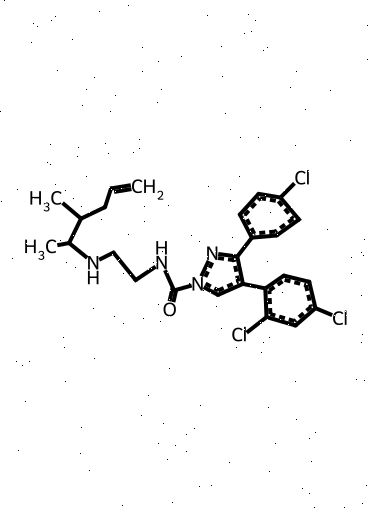 C=CCC(C)C(C)NCCNC(=O)n1cc(-c2ccc(Cl)cc2Cl)c(-c2ccc(Cl)cc2)n1